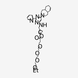 CCOCCOCCOCCOCCC(=O)OC12CC(CNc3cc(N4CCC5C=CCCC5CC4)nc(-c4ccccn4)n3)(C1)C2